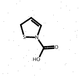 O=C(O)N1C=CCS1